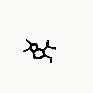 COc1ccc2c(cc(C)n2C)c1C(=O)O